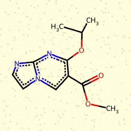 COC(=O)c1cn2ccnc2nc1OC(C)C